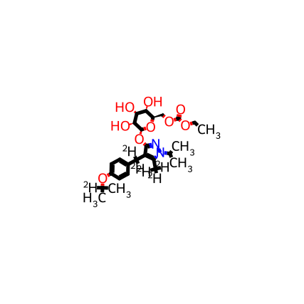 [2H]C(C)(C)Oc1ccc(C([2H])([2H])c2c(O[C@@H]3O[C@H](COC(=O)OCC)[C@@H](O)[C@H](O)[C@H]3O)nn(C(C)C)c2C([2H])([2H])[2H])cc1